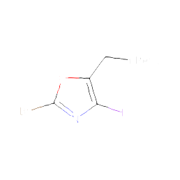 CCCCCCc1oc(Br)nc1I